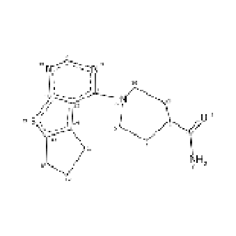 NC(=O)C1CCN(c2ncnc3sc4c(c23)CCC4)CC1